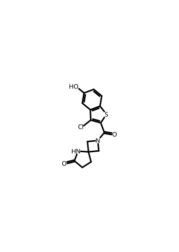 O=C1CCC2(CN(C(=O)c3sc4ccc(O)cc4c3Cl)C2)N1